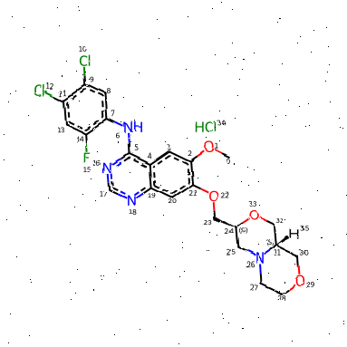 COc1cc2c(Nc3cc(Cl)c(Cl)cc3F)ncnc2cc1OC[C@@H]1CN2CCOC[C@H]2CO1.Cl